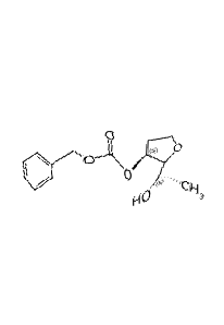 C[C@H](O)C1OCC[C@@H]1OC(=O)OCc1ccccc1